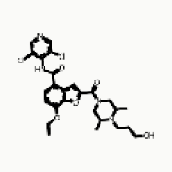 CCOc1ccc(C(=O)Nc2c(Cl)cncc2Cl)c2cc(C(=O)N3CC(C)N(CCCO)C(C)C3)oc12